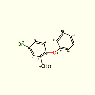 O=Cc1cc(Br)ccc1Oc1c[c]ccc1